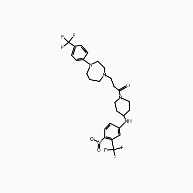 O=C(CCN1CCCN(c2ccc(C(F)(F)F)cc2)CC1)N1CCC(Nc2ccc([N+](=O)[O-])c(C(F)(F)F)c2)CC1